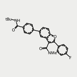 CNC(=O)c1c(-c2ccc(F)cc2)oc2ccc(-c3ccc(C(=O)NC(C)(C)C)cc3)cc12